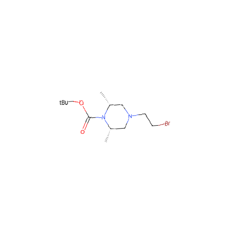 C[C@@H]1CN(CCBr)C[C@H](C)N1C(=O)OC(C)(C)C